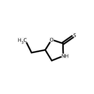 CCC1CNC(=S)O1